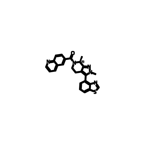 C[C@H]1c2nn(C)c(-c3cccc4scnc34)c2CCN1C(=O)c1ccc2ncccc2c1